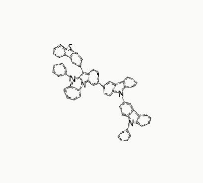 c1ccc(-n2c3ccccc3c3cc(-n4c5ccccc5c5cc(-c6ccc7c(-c8ccc9sc%10ccccc%10c9c8)c8n(-c9ccccc9)c9ccccc9n8c7c6)ccc54)ccc32)cc1